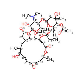 CCC(=O)O/C1=C/C(=O)OC(C)CC2OC2/C=C/C(O)C(C)CC(CC=O)C(OC2OC(C)C(OC3CC(C)(O)C(OC(C)=O)C(C)O3)C(N(C)C)C2O)C1OC